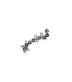 O=C1CCC(Nc2ccc(C3CCN(C4CCC(NC(=O)[C@H]5CC[C@H](Nc6ncc(F)c(-c7cccc(N8CCOCC8)c7)n6)CC5)CC4)CC3)c(F)c2)C(=O)N1